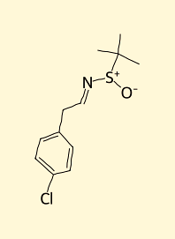 CC(C)(C)[S+]([O-])N=CCc1ccc(Cl)cc1